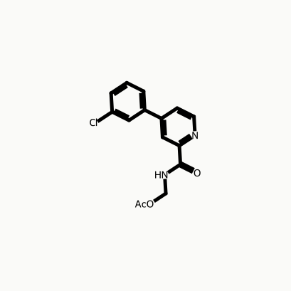 CC(=O)OCNC(=O)c1cc(-c2cccc(Cl)c2)ccn1